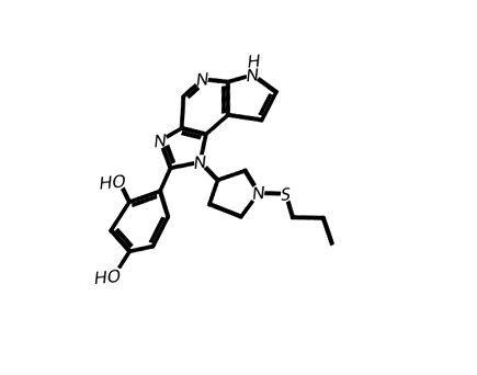 CCCSN1CCC(n2c(-c3ccc(O)cc3O)nc3cnc4[nH]ccc4c32)C1